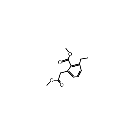 CCc1cccc(CC(=O)OC)c1C(=O)OC